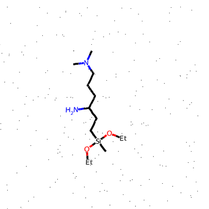 CCO[Si](C)(CCC(N)CCCN(C)C)OCC